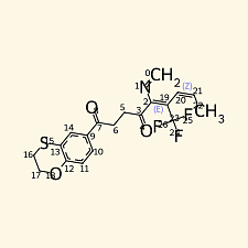 C=N/C(C(=O)CCC(=O)c1ccc2c(c1)SCCO2)=C(\C=C/C)C(F)(F)F